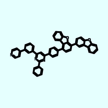 c1ccc(-c2nc(-c3ccc(-c4ccc(-c5ccc6oc7ccccc7c6c5)c5oc6ccccc6c45)cc3)cc(-c3cccc(-c4ccncc4)c3)n2)cc1